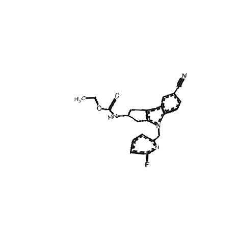 CCOC(=O)NC1Cc2c(n(Cc3cccc(F)n3)c3ccc(C#N)cc23)C1